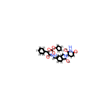 O=C1CCC(N2Cc3cc(CNC(=O)[C@@H](OC(=O)OC4CCCC4)c4ccccc4)ccc3C2=O)C(=O)N1